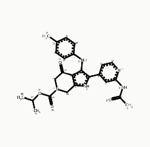 CC(=O)Nc1cc(-c2[nH]c3c(c2Nc2ccc(C)cc2)C(=O)CN(C(=O)OC(C)C)C3)ccn1